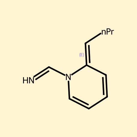 CCC/C=C1\C=CC=CN1C=N